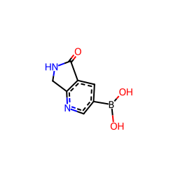 O=C1NCc2ncc(B(O)O)cc21